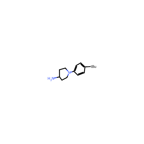 CC(C)(C)c1ccc(N2CCC(N)CC2)cc1